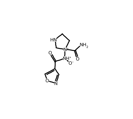 NC(=O)[N+]1([NH+]([O-])C(=O)c2cnoc2)CCNC1